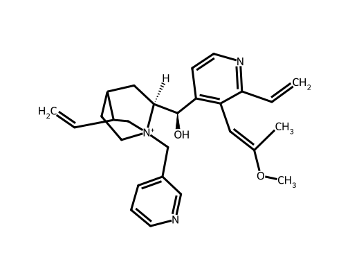 C=Cc1nccc([C@@H](O)[C@@H]2CC3CC[N+]2(Cc2cccnc2)CC3C=C)c1/C=C(\C)OC